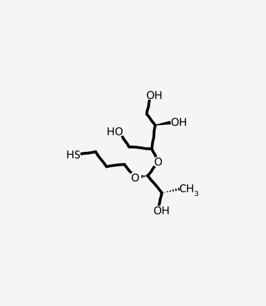 C[C@H](O)[C@H](OCCCS)OC(CO)[C@H](O)CO